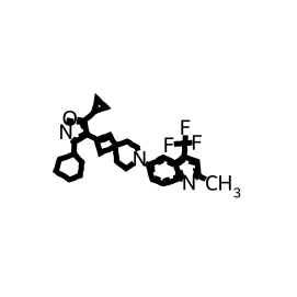 Cc1cc(C(F)(F)F)c2cc(N3CCC4(C=C(c5c(C6CCCCC6)noc5C5CC5)C4)CC3)ccc2n1